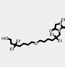 CCN1CC(=O)N(CC(CC)(CC)CCCCOCCCCC(CC)(CC)CCO)C1=O